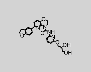 O=C(Nc1cccc(OC[C@H](O)CO)n1)N1CCOc2ccc(-c3ccc4c(c3)CCO4)nc21